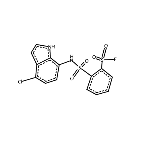 O=S(=O)(F)c1ccccc1S(=O)(=O)Nc1ccc(Cl)c2cc[nH]c12